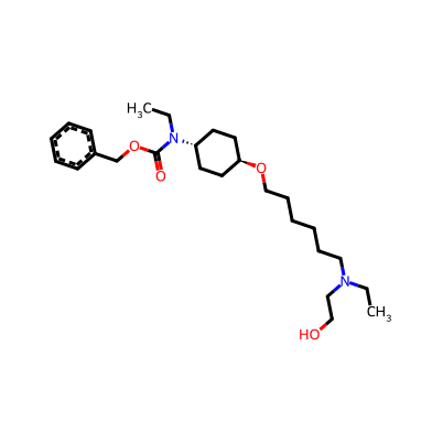 CCN(CCO)CCCCCCO[C@H]1CC[C@H](N(CC)C(=O)OCc2ccccc2)CC1